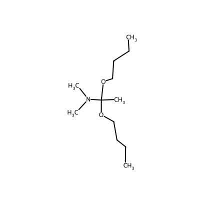 CCCCOC(C)(OCCCC)N(C)C